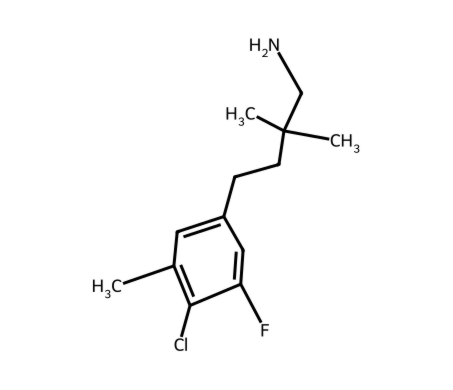 Cc1cc(CCC(C)(C)CN)cc(F)c1Cl